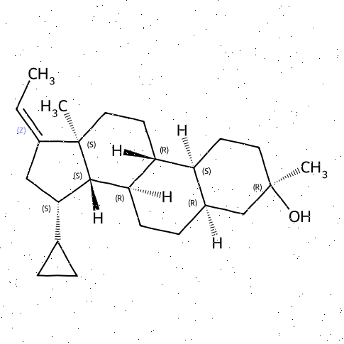 C/C=C1/C[C@@H](C2CC2)[C@H]2[C@@H]3CC[C@@H]4C[C@](C)(O)CC[C@@H]4[C@H]3CC[C@]12C